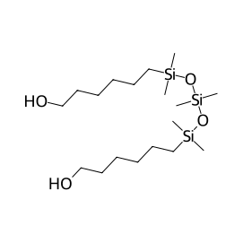 C[Si](C)(CCCCCCO)O[Si](C)(C)O[Si](C)(C)CCCCCCO